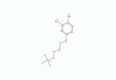 CC(=O)c1ccc(OCOCC[Si](C)(C)C)cc1Cl